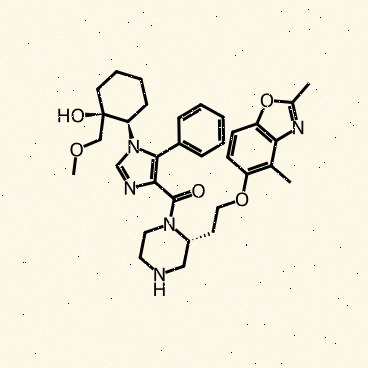 COC[C@]1(O)CCCC[C@H]1n1cnc(C(=O)N2CCNC[C@H]2CCOc2ccc3oc(C)nc3c2C)c1-c1ccccc1